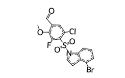 COc1c(C=O)cc(Cl)c(S(=O)(=O)n2ccc3c(Br)cccc32)c1F